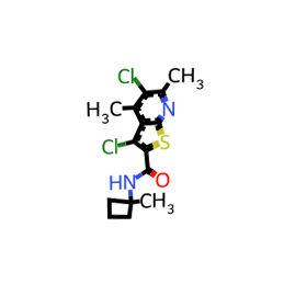 Cc1nc2sc(C(=O)NC3(C)CCC3)c(Cl)c2c(C)c1Cl